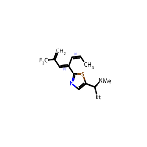 C=C(/C=C(\C=C/C)c1ncc(C(CC)NC)s1)C(F)(F)F